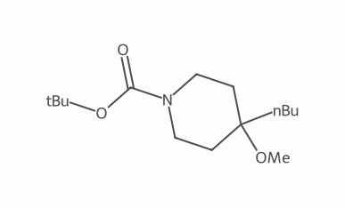 CCCCC1(OC)CCN(C(=O)OC(C)(C)C)CC1